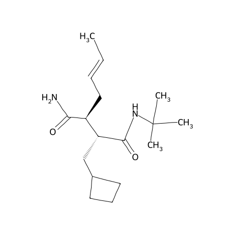 C/C=C/C[C@H](C(N)=O)[C@@H](CC1CCC1)C(=O)NC(C)(C)C